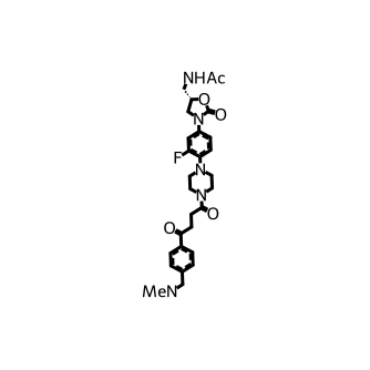 CNCc1ccc(C(=O)CCC(=O)N2CCN(c3ccc(N4C[C@H](CNC(C)=O)OC4=O)cc3F)CC2)cc1